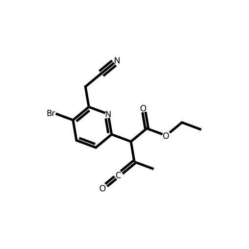 CCOC(=O)C(C(C)=C=O)c1ccc(Br)c(CC#N)n1